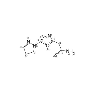 NC(=S)Cc1nnc(N2CCC=N2)o1